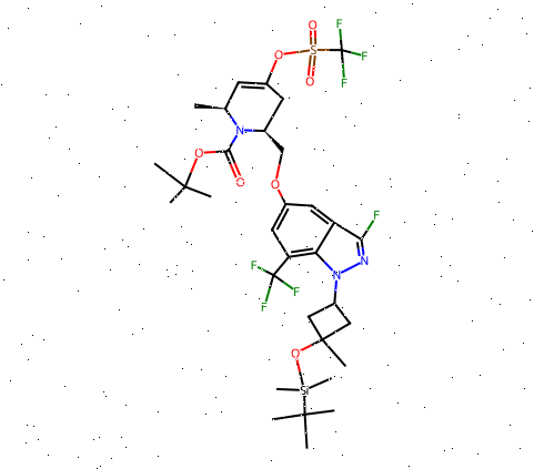 C[C@H]1C=C(OS(=O)(=O)C(F)(F)F)C[C@@H](COc2cc(C(F)(F)F)c3c(c2)c(F)nn3C2CC(C)(O[Si](C)(C)C(C)(C)C)C2)N1C(=O)OC(C)(C)C